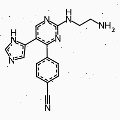 N#Cc1ccc(-c2nc(NCCN)ncc2-c2cnc[nH]2)cc1